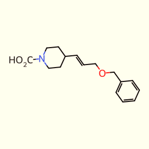 O=C(O)N1CCC(/C=C/COCc2ccccc2)CC1